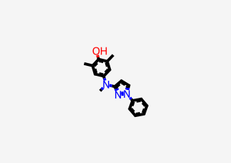 Cc1cc(N(C)c2ccn(-c3ccccc3)n2)cc(C)c1O